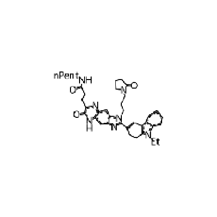 CCCCCNC(=O)CCc1nc2cc3c(cc2[nH]c1=O)nc(C1=Cc2c(n(CC)c4ccccc24)CC1)n3CCCN1CCCC1=O